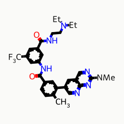 CCN(CC)CCNC(=O)c1cc(NC(=O)c2ccc(C)c(-c3cnc4nc(NC)ncc4c3)c2)cc(C(F)(F)F)c1